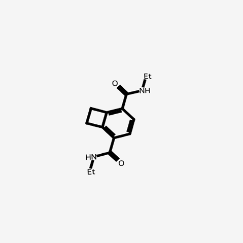 CCNC(=O)c1ccc(C(=O)NCC)c2c1CC2